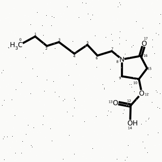 CCCCCCCCN1CC(OC(=O)O)CC1=O